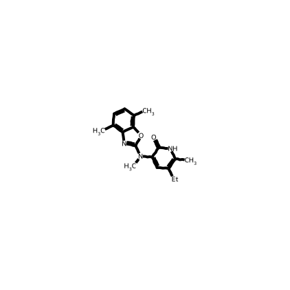 CCc1cc(N(C)c2nc3c(C)ccc(C)c3o2)c(=O)[nH]c1C